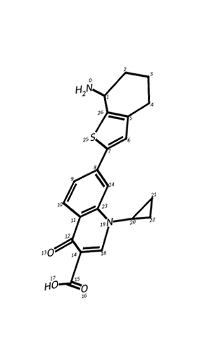 NC1CCCc2cc(-c3ccc4c(=O)c(C(=O)O)cn(C5CC5)c4c3)sc21